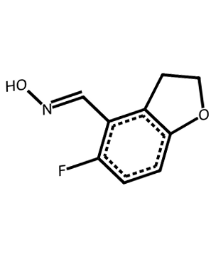 ON=Cc1c(F)ccc2c1CCO2